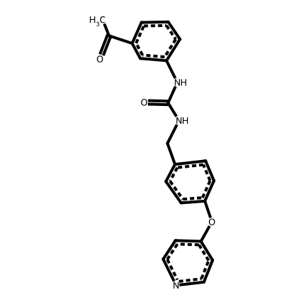 CC(=O)c1cccc(NC(=O)NCc2ccc(Oc3ccncc3)cc2)c1